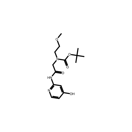 COCCN(CC(=O)Nc1cc(O)ccn1)C(=O)OC(C)(C)C